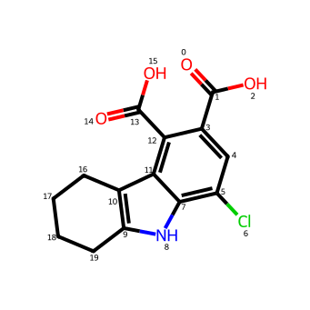 O=C(O)c1cc(Cl)c2[nH]c3c(c2c1C(=O)O)CCCC3